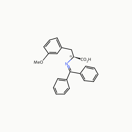 COc1cccc(C[C@H](N=C(c2ccccc2)c2ccccc2)C(=O)O)c1